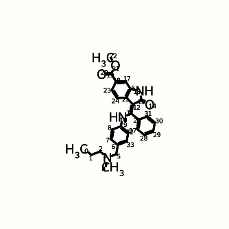 CCCN(C)Cc1ccc(NC(=C2C(=O)Nc3cc(C(=O)OC)ccc32)c2ccccc2)cc1